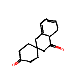 O=C1CCC2(CC1)CC(=O)C1CC=CC=C1C2